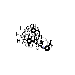 COc1c(C)cc2c(c1O)[C@@H]([C@@H]1Cc3c(OC(C)=O)c(C)c4c(c3[C@H](CNC(=O)/C=C/c3cccc(C(F)(F)F)c3)N1CO)OCO4)N(C)CC2